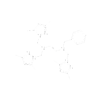 Cc1cc(C)n(CN(/C=C/N(Cn2nc(C)cc2C)Cn2nc(C)cc2C)Cc2ccccc2)n1